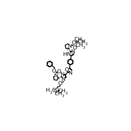 CC(C)(C)OC(=O)N1CCC[C@H]1c1ncc(-c2ccc(-c3cnc(-c4cn(COCC[Si](C)(C)C)c([C@@H]5CCCN5C(=O)OCc5ccccc5)n4)o3)cc2)[nH]1